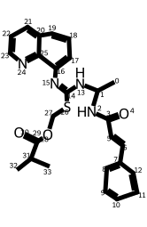 CC(NC(=O)/C=C/c1ccccc1)N/C(=N\c1cccc2cccnc12)SCOC(=O)C(C)C